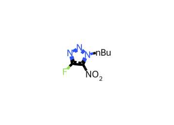 CCCCn1nnc(F)c1[N+](=O)[O-]